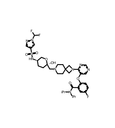 CC(C)N(C(=O)c1cc(F)ccc1Oc1cncnc1N1CC2(CCN(C[C@@]3(O)CC[C@@H](NS(=O)(=O)c4cnn(C(F)F)c4)CO3)CC2)C1)C(C)C